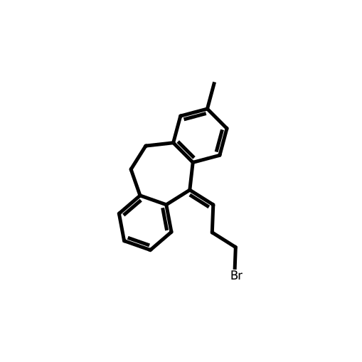 Cc1ccc2c(c1)CCc1ccccc1C2=CCCBr